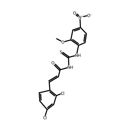 COc1cc([N+](=O)[O-])ccc1NC(=S)NC(=O)/C=C/c1ccc(Cl)cc1Cl